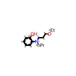 CCCN(CCCOCC)c1ccccc1O